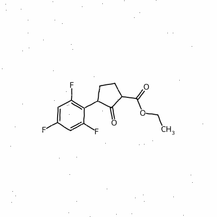 CCOC(=O)C1CCC(c2c(F)cc(F)cc2F)C1=O